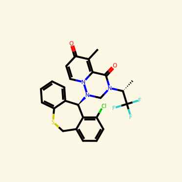 Cc1c2n(ccc1=O)N([C@@H]1c3ccccc3SCc3cccc(Cl)c31)CN([C@H](C)C(F)(F)F)C2=O